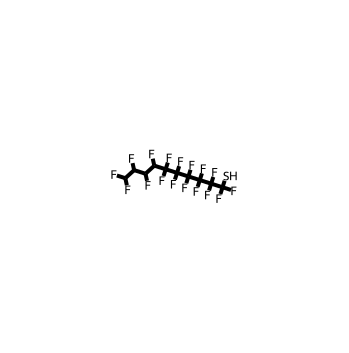 FC(F)C(F)C(F)C(F)C(F)(F)C(F)(F)C(F)(F)C(F)(F)C(F)(F)C(F)(F)S